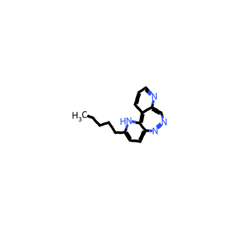 CCCCCC1=CC=C2N=NC=c3ncccc3=C2N1